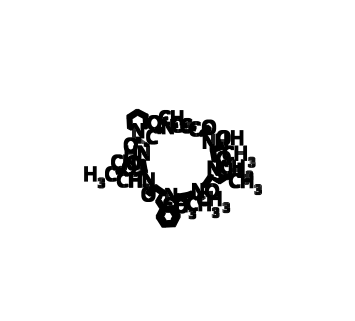 CC(C)C[C@H]1C(=O)N(C)[C@@H](C)C(=O)N(C)[C@@H](Cc2ccccc2)C(=O)N[C@@H](COC(C)(C)C)C(=O)N[C@H](C(=O)N2CCCCC2)CC(=O)N(C)CCCC(=O)N[C@@H]([C@@H](C)O)C(=O)N1C